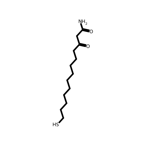 NC(=O)CC(=O)CCCCCCCCCCS